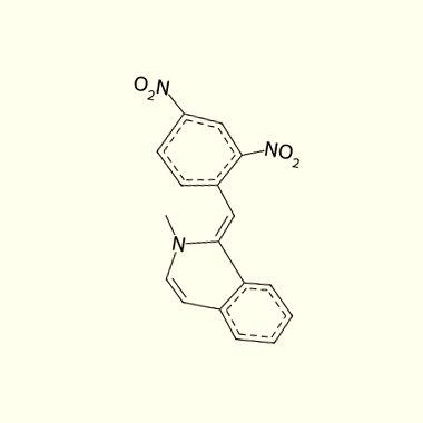 CN1C=Cc2ccccc2/C1=C/c1ccc([N+](=O)[O-])cc1[N+](=O)[O-]